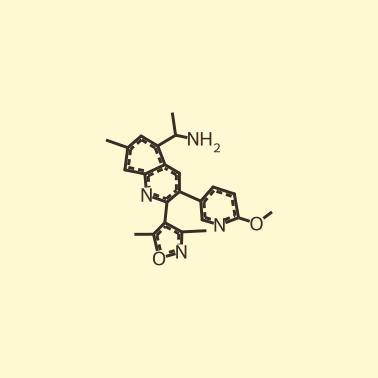 COc1ccc(-c2cc3c(C(C)N)cc(C)cc3nc2-c2c(C)noc2C)cn1